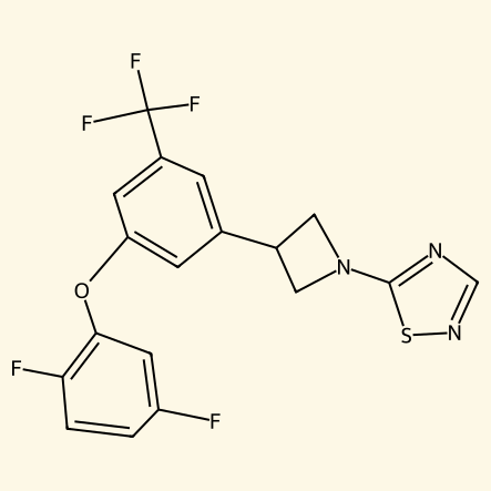 Fc1ccc(F)c(Oc2cc(C3CN(c4ncns4)C3)cc(C(F)(F)F)c2)c1